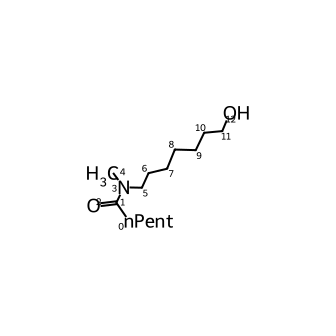 CCCCCC(=O)N(C)CCCCCCCO